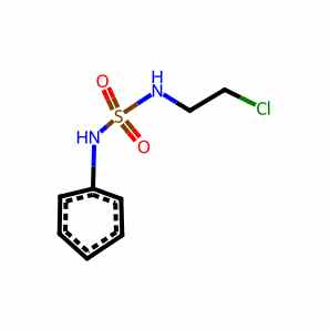 O=S(=O)(NCCCl)Nc1ccccc1